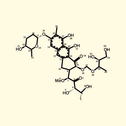 CO[C@H](C(=O)[C@@H](O)[C@@H](C)O)C1Cc2cc3cc(O[C@H]4CC[C@H](O)C(C)O4)c(C)c(O)c3c(O)c2C(=O)[C@H]1OCOC(C)[C@@H](O)CO